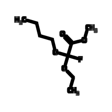 CCCCOC(F)(OCC)C(=O)OC